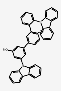 N#Cc1cc(-c2ccc(C#N)c(-c3ccccc3-n3c4ccccc4c4ccccc43)c2)cc(-n2c3ccccc3c3ccccc32)c1